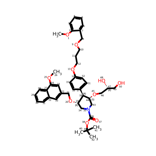 COc1ccccc1COCCCOc1ccc([C@@H]2[C@@H](OCc3cc(OC)c4ccccc4c3)CN(C(=O)OC(C)(C)C)C[C@H]2OC[C@H](O)CO)cc1